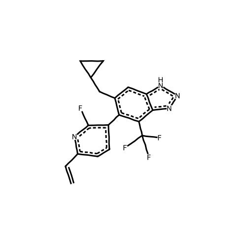 C=Cc1ccc(-c2c(CC3CC3)cc3[nH]nnc3c2C(F)(F)F)c(F)n1